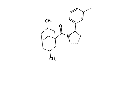 CC1CC2CC(C)CC(C(=O)N3CCCC3c3cccc(F)c3)(C1)C2